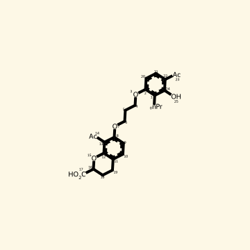 CCCc1c(OCCCOc2ccc3c(c2C(C)=O)OC(C(=O)O)CC3)ccc(C(C)=O)c1O